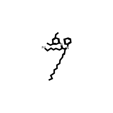 CCCCCCCCCCC=CC(=Nc1ccccc1)C(CCCCCC)=Nc1cc(CC)cc(CC)c1.[Pd]